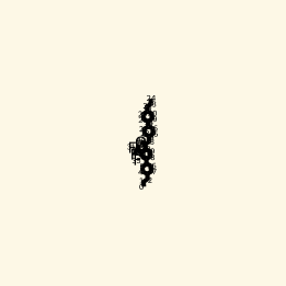 CCCC1CCC(c2ccc(C(=O)CC3CCC(C4CCC(CCC)CC4)CC3)c(C(F)(F)F)c2F)CC1